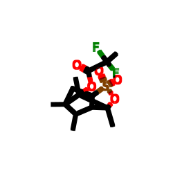 CC1C2C3CC1(C)C(C)(OC(=O)C(C)(F)F)C2(C)OS3(=O)=O